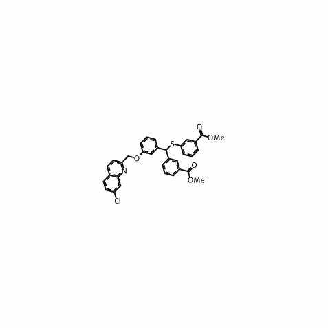 COC(=O)c1cccc(SC(c2cccc(OCc3ccc4ccc(Cl)cc4n3)c2)c2cccc(C(=O)OC)c2)c1